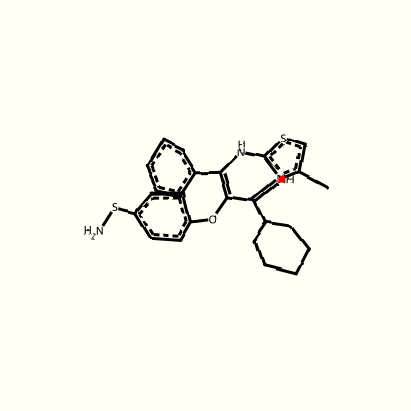 Cc1csc(N/C(=C(/Oc2ccc(SN)cc2)C(=N)C2CCCCC2)c2ccccc2)n1